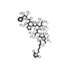 CCC(C)C(C(CC(=O)N1CCCC1C(OC)C(C)C(=O)NC(C)C(O)c1ccccc1)OC)N(C)C(=O)[C@@H](NC(=O)C1C(C)[C@H](C)C(CC)N1C(=O)CCCCCN1C(=O)C=CC1=O)C(C)C